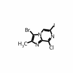 Cc1nc2c(Cl)nc(I)cn2c1Br